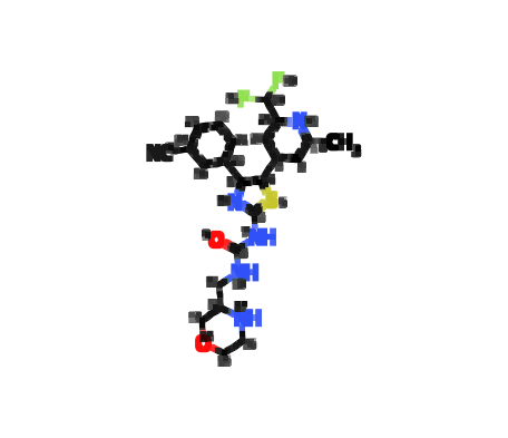 Cc1cc(-c2sc(NC(=O)NCC3COCCN3)nc2-c2cccc(C#N)c2)cc(C(F)F)n1